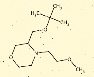 COCCN1CCOCC1COC(C)(C)C